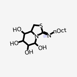 CCCCCCCC/N=C1\SCC2C(O)C(O)C(O)C(O)N12